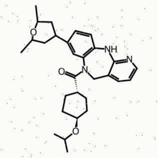 CC1CC(c2ccc3c(c2)N(C(=O)[C@H]2CC[C@H](OC(C)C)CC2)Cc2cccnc2N3)CC(C)O1